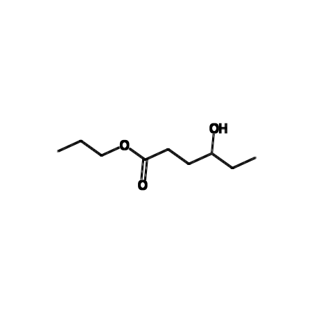 CCCOC(=O)CCC(O)CC